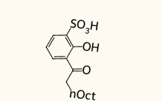 CCCCCCCCCC(=O)c1cccc(S(=O)(=O)O)c1O